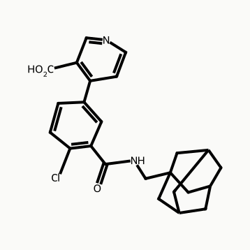 O=C(NCC12CC3CC(CC(C3)C1)C2)c1cc(-c2ccncc2C(=O)O)ccc1Cl